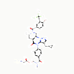 C[C@@H]1Cc2c(n3ncc(CC4CC4)c3n(-c3ccc(C(=O)N(C)COC(=O)CN)cc3)c2=O)CN1C(=O)c1ccc(Br)c(C(F)(F)F)c1